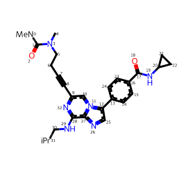 CNC(=O)N(C)CCC#Cc1cn2c(-c3ccc(C(=O)NC4CC4)cc3)cnc2c(NCC(C)C)n1